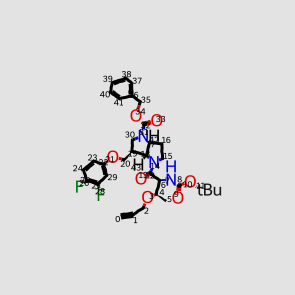 C#CCO[C@H](C)[C@H](NC(=O)OC(C)(C)C)C(=O)N1CC[C@@H]2[C@H]1[C@@H](COc1ccc(F)c(F)c1)CN2C(=O)OCc1ccccc1